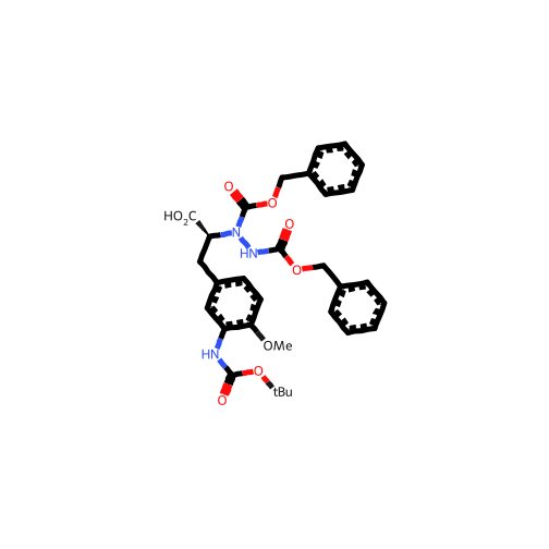 COc1ccc(C[C@@H](C(=O)O)N(NC(=O)OCc2ccccc2)C(=O)OCc2ccccc2)cc1NC(=O)OC(C)(C)C